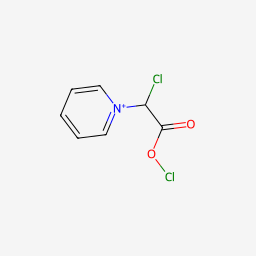 O=C(OCl)C(Cl)[n+]1ccccc1